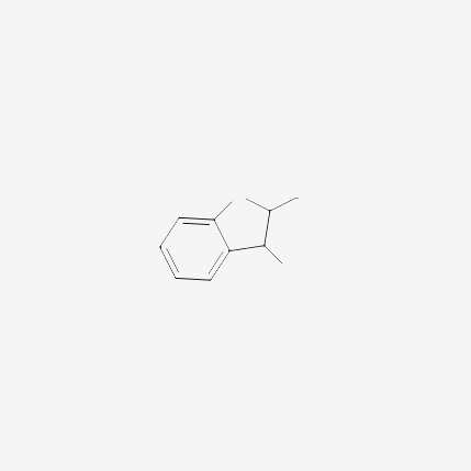 CCC1Oc2ccccc2C1[O]